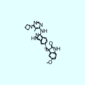 COc1ccc2c(c1)[C@]1(C[C@H]1c1ccc3c(Nc4ncnc(N5CCC5)c4C)n[nH]c3c1)C(=O)N2